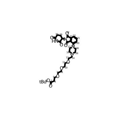 CC(C)(C)OC(=O)CCOCCOCCOCCN1CCN(c2cccc3c2C(=O)N(C2CCC(=O)NC2=O)C3=O)CC1